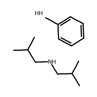 CC(C)CNCC(C)C.Cc1ccccc1.[HH]